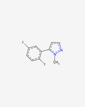 Cn1n[c]cc1-c1cc(F)ccc1F